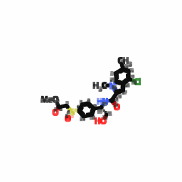 COC(=O)C[S@+]([O-])c1ccc([C@@H](CO)NC(=O)c2cc3c(Cl)cc(C)cc3n2C)cc1